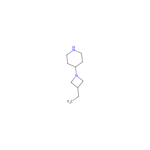 FC(F)(F)CC1CN(C2CCNCC2)C1